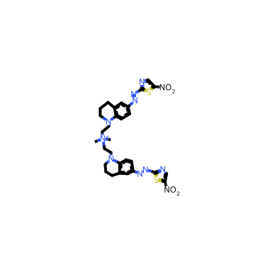 C[N+](C)(CCN1CCCc2cc(/N=N/c3ncc([N+](=O)[O-])s3)ccc21)CCN1CCCc2cc(/N=N/c3ncc([N+](=O)[O-])s3)ccc21